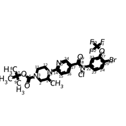 CC1CN(C(=O)OC(C)(C)C)CCN1c1ccc(C(=O)N(Cl)c2ccc(Br)c(OC(F)(F)F)c2)cn1